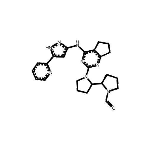 O=CN1CCCC1C1CCCN1c1nc2c(c(Nc3cc(-c4ccccn4)[nH]n3)n1)CCC2